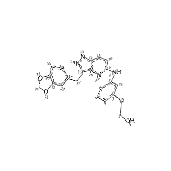 OCCc1cccc(Nc2ccc3nnc(Cc4ccc5c(c4)OCO5)n3n2)c1